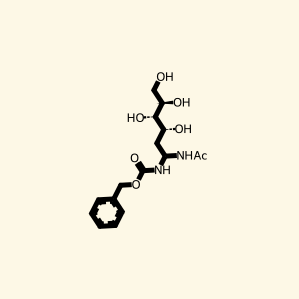 CC(=O)NC(C[C@@H](O)[C@H](O)[C@H](O)CO)NC(=O)OCc1ccccc1